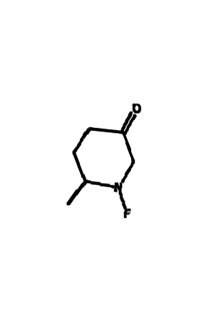 CC1CCC(=O)CN1F